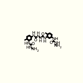 Cc1ccc(NC(=O)NNC(=O)Nc2cc(NC(=O)NN)ccc2C)cc1NC(=O)NN